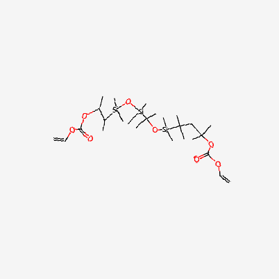 C=COC(=O)OC(C)C(C)[Si](C)(C)O[Si](C)(C)C(C)(C)O[Si](C)(C)C(C)(C)CC(C)(C)OC(=O)OC=C